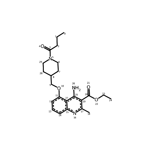 CCCC(=O)N1CCC(COc2cccc3nc(C)c(C(=O)OCC)c(N)c23)CC1